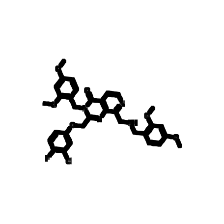 COc1ccc(CNCc2nccc3c(=O)n(Cc4ccc(OC)cc4OC)c(COc4ccc(F)c(Cl)c4)nc23)c(OC)c1